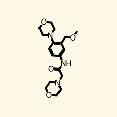 COCc1cc(NC(=O)CN2CCOCC2)ccc1N1CCOCC1